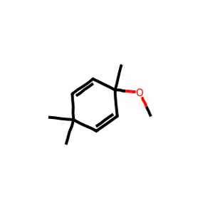 COC1(C)C=CC(C)(C)C=C1